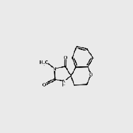 CN1C(=O)NC2(CCOc3ccccc32)C1=O